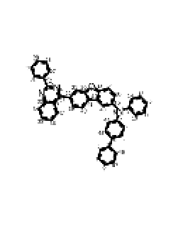 c1ccc(-c2ccc(N(c3ccccc3)c3ccc4oc5cc(-c6nc(-c7ccccc7)nc7ccccc67)ccc5c4c3)cc2)cc1